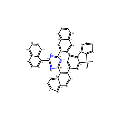 CC1(C)c2ccccc2-c2ccc(-c3ccc4ccccc4c3-c3nc(-c4ccc5ccccc5c4)nc(-c4cccc5ccccc45)n3)cc21